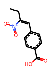 CC/C(=C/c1ccc(C(=O)O)cc1)[N+](=O)[O-]